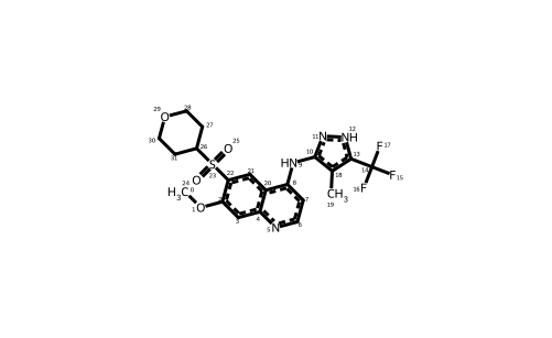 COc1cc2nccc(Nc3n[nH]c(C(F)(F)F)c3C)c2cc1S(=O)(=O)C1CCOCC1